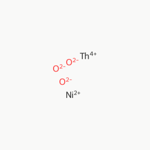 [Ni+2].[O-2].[O-2].[O-2].[Th+4]